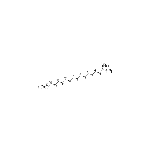 [CH2]CCC(CCCC)CCCCCCCCCCCCCCCCCCCCCCCC